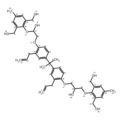 C=CCc1cc(C(C)(C)c2ccc(OCC(O)Oc3c(CO)cc(C)cc3CO)c(CC=C)c2)ccc1OCC(O)COc1c(CO)cc(C)cc1CO